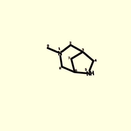 CN1CC2CNC(C2)C1